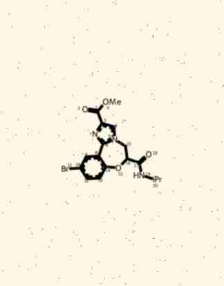 COC(=O)c1cn2c(n1)-c1cc(Br)ccc1OC(C(=O)NC(C)C)C2